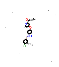 CNC(=O)c1cc(Oc2ccc(NSc3ccc(Cl)c(C(F)(F)F)c3)cc2)ccn1